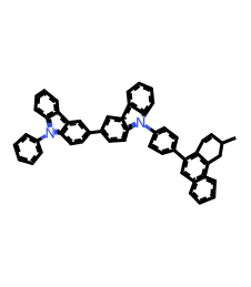 CC1C=Cc2c(-c3ccc(-n4c5ccccc5c5cc(-c6ccc7c(c6)c6ccccc6n7-c6ccccc6)ccc54)cc3)cc3ccccc3c2C1